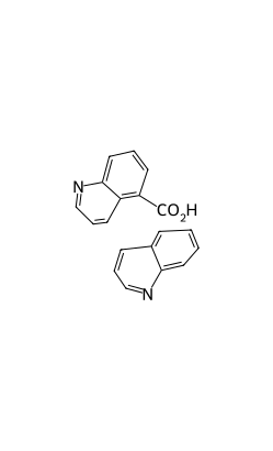 O=C(O)c1cccc2ncccc12.c1ccc2ncccc2c1